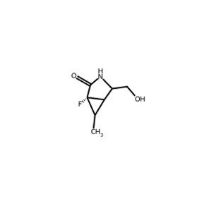 CC1C2C(CO)NC(=O)[C@]12F